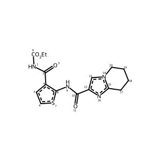 CCOC(=O)NC(=O)c1ccsc1NC(=O)c1cn2c(n1)CCCC2